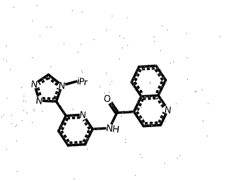 CC(C)n1cnnc1-c1cccc(NC(=O)c2ccnc3ccccc23)n1